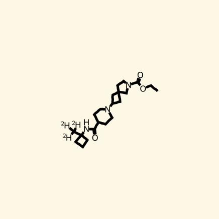 [2H]C([2H])([2H])C1(NC(=O)C2CCN(C3CC4(CCN(C(=O)OCC)C4)C3)CC2)CCC1